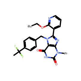 CCC(C)COc1ncccc1-c1nc2c(c(=O)[nH]c(=O)n2C(C)C)n1Cc1ccc(C(C)(F)F)cc1